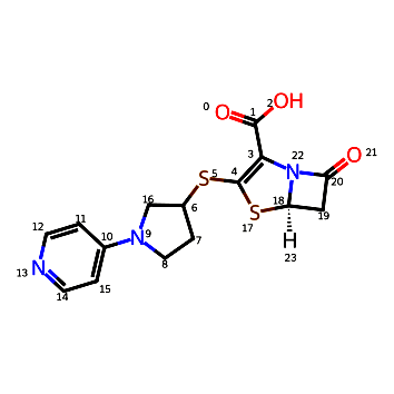 O=C(O)C1=C(SC2CCN(c3ccncc3)C2)S[C@@H]2CC(=O)N12